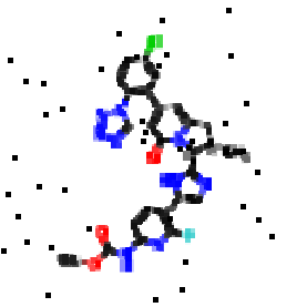 C[C@H]1Cc2cc(-c3cc(Cl)ccc3-n3cnnn3)cc(=O)n2[C@@H]1c1ncc(-c2ccc(NC(=O)OC(C)(C)C)nc2F)[nH]1